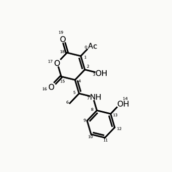 CC(=O)C1=C(O)C(=C(C)Nc2ccccc2O)C(=O)OC1=O